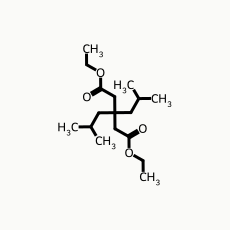 CCOC(=O)CC(CC(=O)OCC)(CC(C)C)CC(C)C